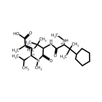 CN[C@@H](C(=O)NC(C(=O)N(C)[C@H](/C=C(\C)C(=O)O)C(C)C)C(C)(C)C)C(C)(C)C1CCCCC1